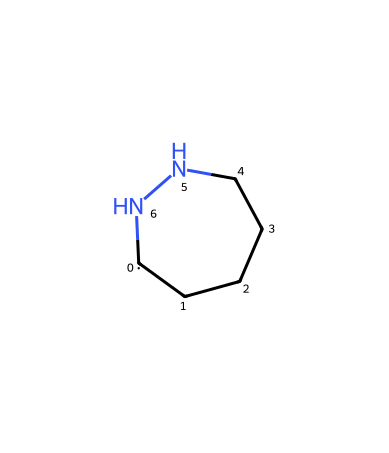 [CH]1CCCCNN1